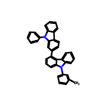 Cc1cccc(-n2c3ccccc3c3c(-c4ccc5c6ccccc6n(-c6ccccc6)c5c4)cccc32)c1